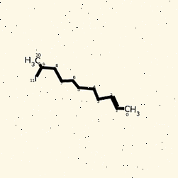 C/C=C/CCCCCCC(C)I